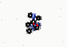 c1ccc(-c2nc3ccccc3n2-c2cc(-c3ccccc3-n3c(-c4ccccc4)nc4ccccc43)cc(-n3cnc4ccccc43)c2)cc1